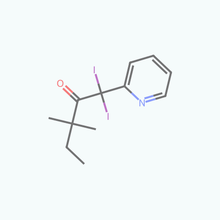 CCC(C)(C)C(=O)C(I)(I)c1ccccn1